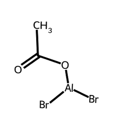 CC(=O)[O][Al]([Br])[Br]